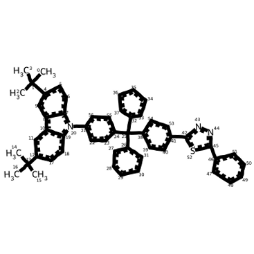 CC(C)(C)c1ccc2c(c1)c1cc(C(C)(C)C)ccc1n2-c1ccc(C(c2ccccc2)(c2ccccc2)c2ccc(-c3nnc(-c4ccccc4)s3)cc2)cc1